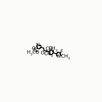 Cc1cc(-c2cnc(C)c(F)c2)ccc1C(C)(C)C(=O)Cc1cncc(S(C)(=O)=O)c1